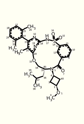 CO[C@H]1C[C@@H](N2C(=O)c3cccc(c3)S(=O)(=O)Nc3nc(c(C)c(-c4c(C)cccc4C)n3)OC[C@H]2CC(C)C)C1